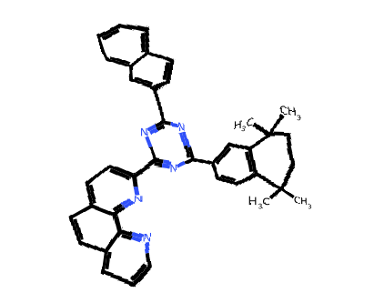 CC1(C)CCC(C)(C)c2cc(-c3nc(-c4ccc5ccccc5c4)nc(-c4ccc5ccc6cccnc6c5n4)n3)ccc21